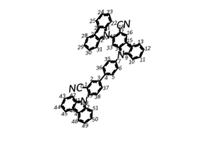 N#Cc1cc(-c2ccc(-n3c4ccccc4c4cc(C#N)c(-n5c6ccccc6c6ccccc65)cc43)cc2)ccc1-n1c2ccccc2c2ccccc21